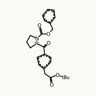 CC(C)(C)OC(=O)Cc1ccc(C(=O)N2CCCN2C(=O)OCc2ccccc2)cc1